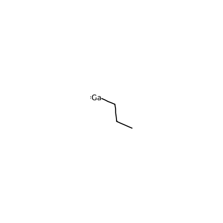 CC[CH2][Ga]